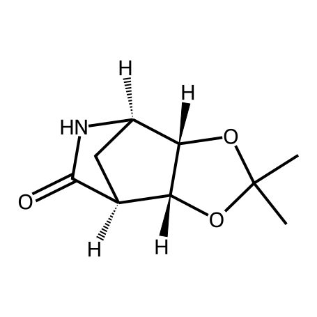 CC1(C)O[C@@H]2[C@H](O1)[C@@H]1C[C@H]2NC1=O